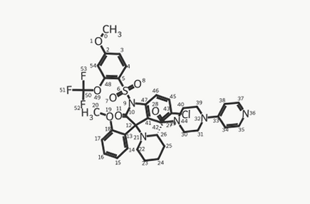 COc1ccc(S(=O)(=O)N2C(=O)C(c3ccccc3OC)(N3CCCC[C@H]3C(=O)N3CCN(c4ccncc4)CC3)c3cc(Cl)ccc32)c(OC(F)(F)F)c1